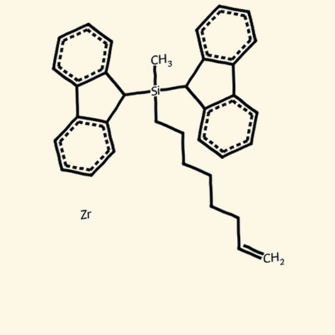 C=CCCCCCC[Si](C)(C1c2ccccc2-c2ccccc21)C1c2ccccc2-c2ccccc21.[Zr]